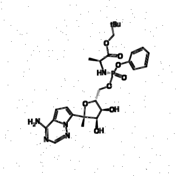 C[C@H](N[P@](=O)(OC[C@H]1O[C@@](C)(c2ccc3c(N)ncnn23)[C@H](O)[C@@H]1O)Oc1ccccc1)C(=O)OCC(C)(C)C